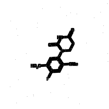 COc1cc(F)c(C(=O)O)cc1N1CCC(=O)NC1=O